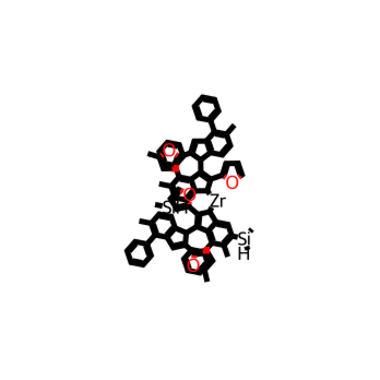 Cc1ccc(C2=Cc3c(ccc(C)c3-c3ccccc3)C2C2=C(c3ccco3)[CH]([Zr][CH]3C(c4ccco4)=C(C4C(c5ccc(C)o5)=Cc5c4ccc(C)c5-c4ccccc4)c4c3cc([SiH](C)C)c(C)c4-c3ccccc3)c3cc([SiH](C)C)c(C)c(-c4ccccc4)c32)o1